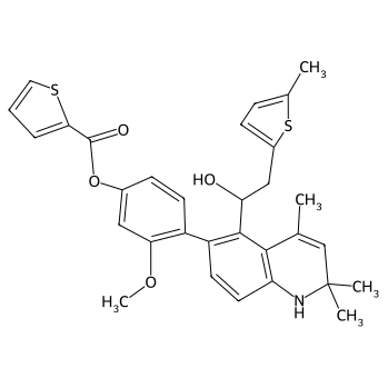 COc1cc(OC(=O)c2cccs2)ccc1-c1ccc2c(c1C(O)Cc1ccc(C)s1)C(C)=CC(C)(C)N2